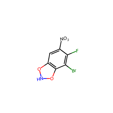 O=[N+]([O-])c1cc2c(c(Br)c1F)ONO2